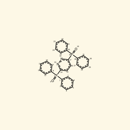 O=P(c1ccccc1)(c1ccccc1)c1ccc(P(=O)(c2ccccc2)c2ccccc2)nn1